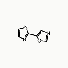 C1=CN=C(c2cnco2)[N]1